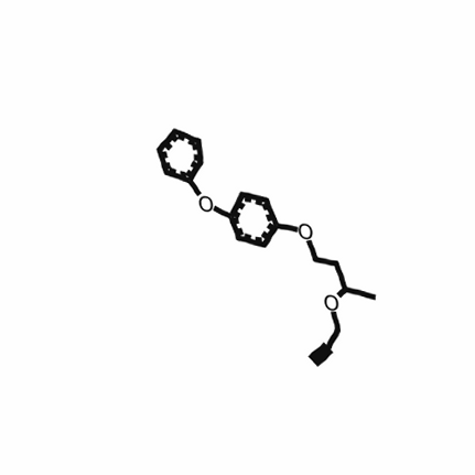 C#CCOC(C)CCOc1ccc(Oc2ccccc2)cc1